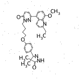 CCc1ccc2c(-c3ccc(=O)n(CCCCOc4ccc(C5=NNC(=O)C5(C)C)cc4)n3)ccc(OC)c2n1